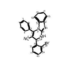 N#CC1=C(c2ccccc2)n2c(nc3ccccc32)NC1c1ccccc1Br